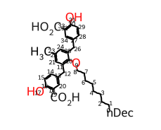 CCCCCCCCCCCCCCCCCCOc1c(Cc2ccc(O)c(C(=O)O)c2)cc(C)cc1Cc1ccc(O)c(C(=O)O)c1